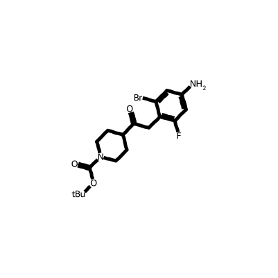 CC(C)(C)OC(=O)N1CCC(C(=O)Cc2c(F)cc(N)cc2Br)CC1